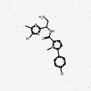 CCc1sc(C(CN)NC(=O)c2ccc(-c3ccc(Cl)cc3)n2C)nc1C